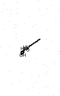 CCCCCCCCCCCCNC(=O)NCSc1ccc(O)cc1